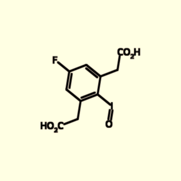 O=Ic1c(CC(=O)O)cc(F)cc1CC(=O)O